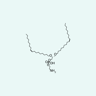 CCCCCCCC/C=C\CCCCCCCCOC[C@H](COP(=O)(O)OCCN)OCCCCCCCC/C=C\CCCCCCCC